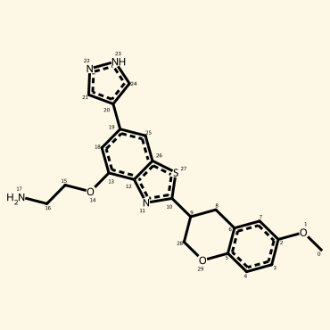 COc1ccc2c(c1)CC(c1nc3c(OCCN)cc(-c4cn[nH]c4)cc3s1)CO2